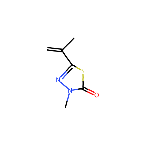 C=C(C)c1nn(C)c(=O)s1